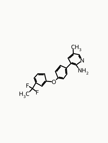 Cc1cnc(N)c(-c2ccc(Oc3cccc(C(C)(F)F)c3)cc2)c1